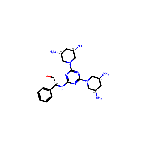 N[C@@H]1C[C@H](N)CN(c2nc(N[C@@H](CO)c3ccccc3)nc(N3C[C@H](N)C[C@H](N)C3)n2)C1